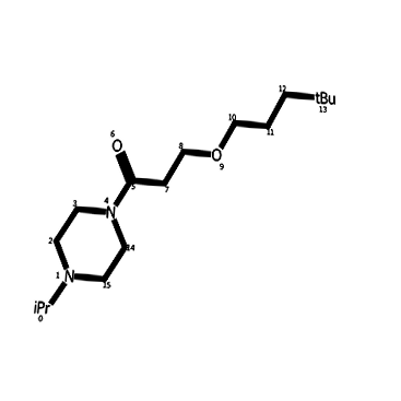 CC(C)N1CCN(C(=O)CCOCCCC(C)(C)C)CC1